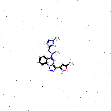 Cc1cc(-c2nnn3c2nc(N(C)Cc2ncn(C)n2)c2ccccc23)no1